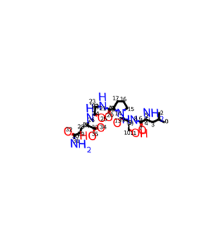 CC(C)C[C@H](N)C(=O)N[C@@H](CO)C(=O)N1CCC[C@H]1C(=O)N[C@@H](C)C(=O)N[C@@H](CCC(N)=O)C(=O)O